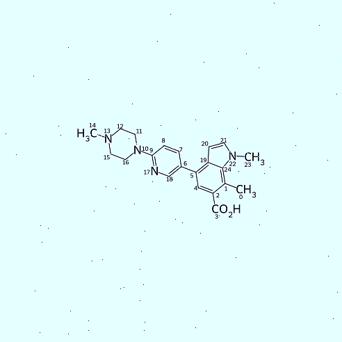 Cc1c(C(=O)O)cc(-c2ccc(N3CCN(C)CC3)nc2)c2ccn(C)c12